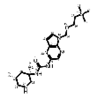 CC(=O)[C@]1(NC(=O)Nc2cnc3c(ccn3COCC[Si](C)(C)C)n2)CNC[C@H](C)C1